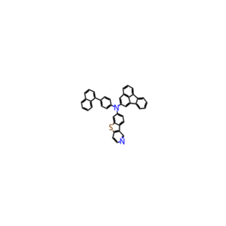 c1ccc2c(c1)-c1cccc3cc(N(c4ccc(-c5cccc6ccccc56)cc4)c4ccc5c(c4)sc4ccncc45)cc-2c13